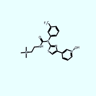 C[N+](C)(C)CCNC(=O)N(c1cccc(C(F)(F)F)c1)c1nc(-c2ccc[n+](O)c2)cs1